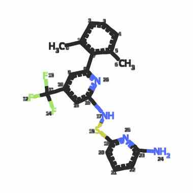 Cc1cccc(C)c1-c1cc(C(F)(F)F)cc(NSc2cccc(N)n2)n1